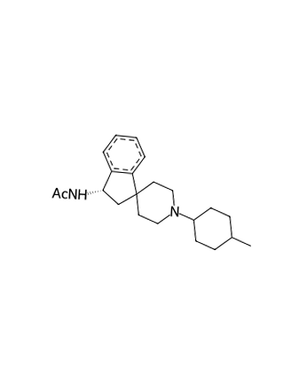 CC(=O)N[C@H]1CC2(CCN(C3CCC(C)CC3)CC2)c2ccccc21